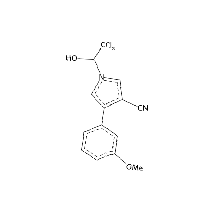 COc1cccc(-c2cn(C(O)C(Cl)(Cl)Cl)cc2C#N)c1